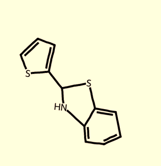 c1csc(C2Nc3ccccc3S2)c1